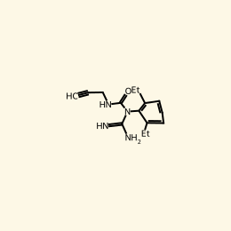 C#CCNC(=O)N(C(=N)N)c1c(CC)cccc1CC